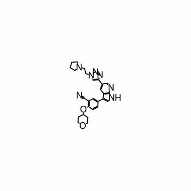 N#Cc1cc(-c2c[nH]c3ncc(-c4cn(CCN5CCCC5)nn4)cc23)ccc1OC1CCOCC1